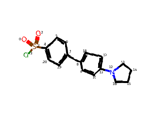 O=S(=O)(Cl)c1ccc(-c2ccc(N3CCCC3)cc2)cc1